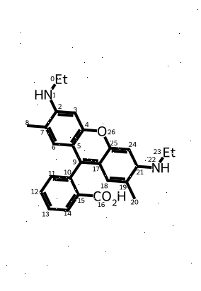 CCNc1cc2c(cc1C)C(c1ccccc1C(=O)O)=C1C=C(C)C(NCC)C=C1O2